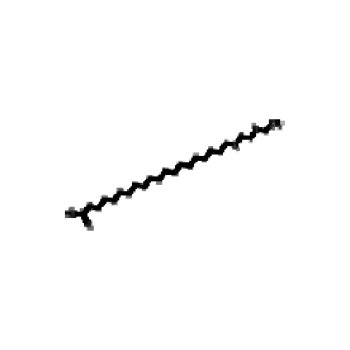 [CH2]COCCOCCCCCCCCCCCCCCCCCCCC(=O)O